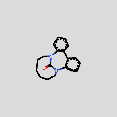 O=C1N2CCCCCCN1c1ccccc1-c1ccccc12